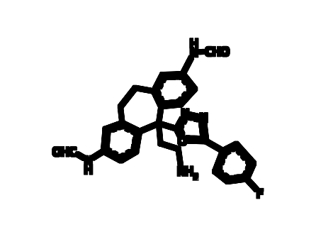 NCCC1(c2nnc(-c3ccc(F)cc3)o2)c2ccc(NC=O)cc2CCc2cc(NC=O)ccc21